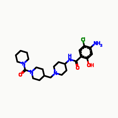 Nc1cc(O)c(C(=O)NC2CCN(CC3CCN(C(=O)N4CCCCC4)CC3)CC2)cc1Cl